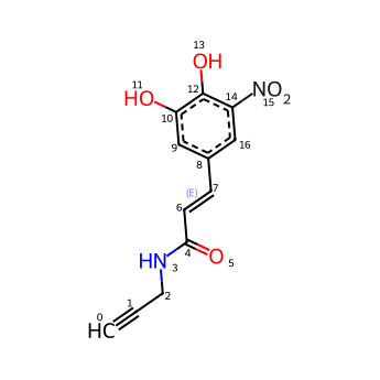 C#CCNC(=O)/C=C/c1cc(O)c(O)c([N+](=O)[O-])c1